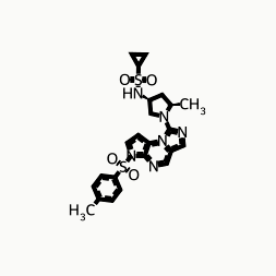 Cc1ccc(S(=O)(=O)n2ccc3c2ncc2cnc(N4C[C@@H](NS(=O)(=O)C5CC5)C[C@H]4C)n23)cc1